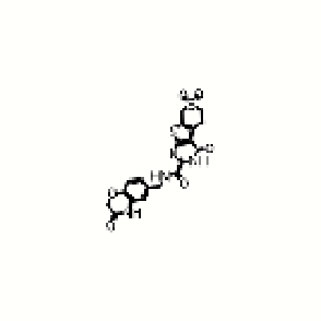 O=C1COc2ccc(CNC(=O)c3nc4sc5c(c4c(=O)[nH]3)CCS(=O)(=O)C5)cc2N1